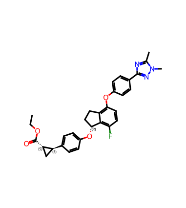 CCOC(=O)[C@H]1C[C@@H]1c1ccc(O[C@@H]2CCc3c(Oc4ccc(-c5nc(C)n(C)n5)cc4)ccc(F)c32)cc1